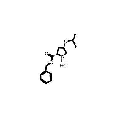 Cl.O=C(OCc1ccccc1)[C@@H]1C[C@@H](OC(F)F)CN1